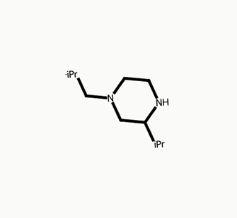 C[C](C)CN1CCNC(C(C)C)C1